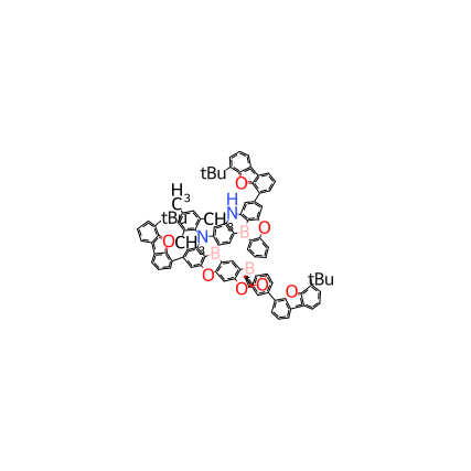 Cc1cc(C)c(N2c3cc4c(cc3B3c5cc6c(cc5Oc5cc(-c7cccc8c7oc7c(C(C)(C)C)cccc78)cc2c53)Oc2cc(-c3cccc5c3oc3c(C(C)(C)C)cccc35)cc3c2B6c2ccccc2O3)B2c3ccccc3Oc3cc(-c5cccc6c5oc5c(C(C)(C)C)cccc56)cc(c32)N4)c(C)c1